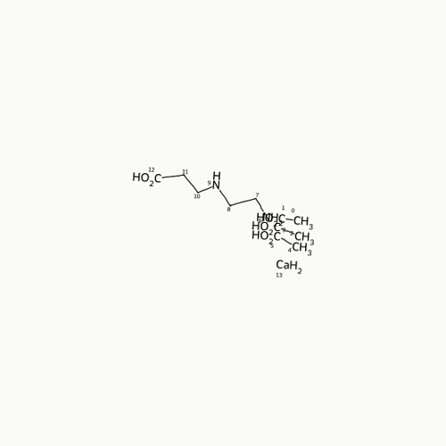 CC(=O)O.CC(=O)O.CC(=O)O.NCCNCCC(=O)O.[CaH2]